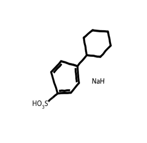 O=S(=O)(O)c1ccc(C2CCCCC2)cc1.[NaH]